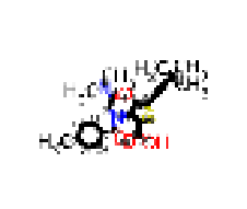 CN(C)C(=O)CN(c1cc(C#CC(C)(C)C)sc1C(=O)O)C(=O)[C@H]1CC[C@H](C)CC1